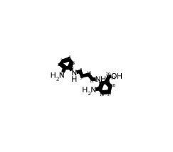 Nc1ccccc1NCCCCNc1c(N)cccc1CO